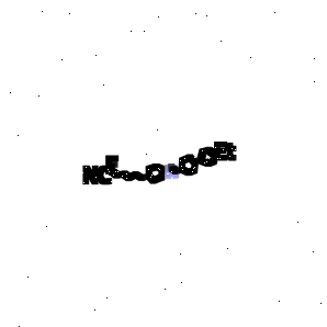 CCc1ccc([C@H]2CC[C@H](/C=C/[C@H]3CC[C@H](CCC=CC=C(F)C#N)CC3)CC2)cc1